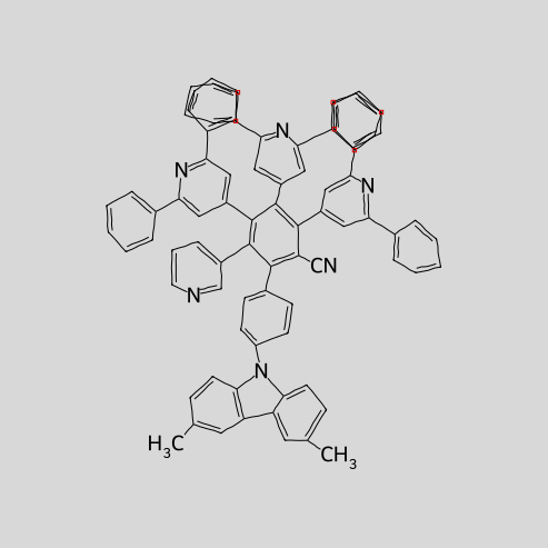 Cc1ccc2c(c1)c1cc(C)ccc1n2-c1ccc(-c2c(C#N)c(-c3cc(-c4ccccc4)nc(-c4ccccc4)c3)c(-c3cc(-c4ccccc4)nc(-c4ccccc4)c3)c(-c3cc(-c4ccccc4)nc(-c4ccccc4)c3)c2-c2cccnc2)cc1